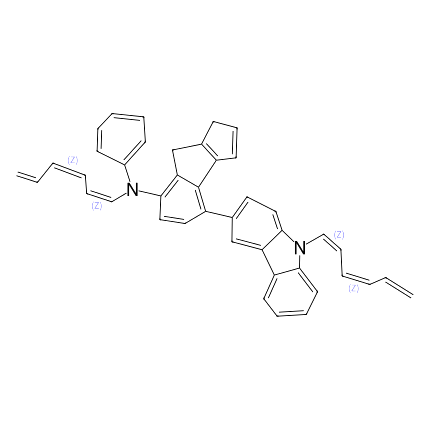 C=C/C=C\C=C/N(c1ccccc1)c1ccc(-c2ccc3c(c2)c2ccccc2n3/C=C\C=C/C=C)c2c1CC1=C2C=CC1